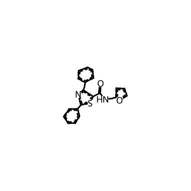 O=C(Nc1ccco1)c1sc(-c2ccccc2)nc1-c1ccccc1